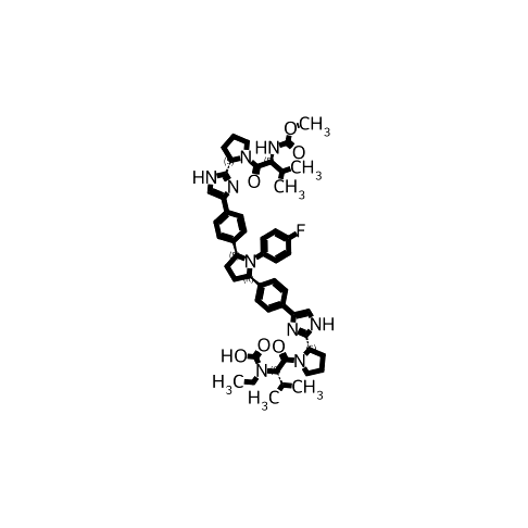 CCN(C(=O)O)[C@H](C(=O)N1CCC[C@H]1c1nc(-c2ccc([C@H]3CC[C@@H](c4ccc(-c5c[nH]c([C@@H]6CCCN6C(=O)[C@@H](NC(=O)OC)C(C)C)n5)cc4)N3c3ccc(F)cc3)cc2)c[nH]1)C(C)C